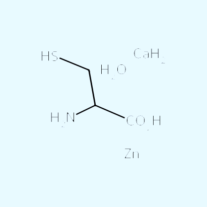 NC(CS)C(=O)O.O.[CaH2].[Zn]